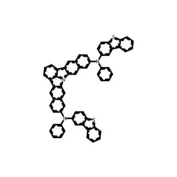 c1ccc(N(c2ccc3cc4c5cccc6c7cc8ccc(N(c9ccccc9)c9ccc%10sc%11ccccc%11c%10c9)cc8cc7n(c4cc3c2)c56)c2ccc3sc4ccccc4c3c2)cc1